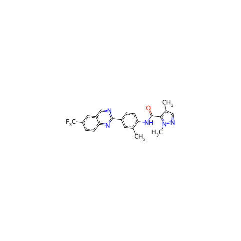 Cc1cc(-c2ncc3cc(C(F)(F)F)ccc3n2)ccc1NC(=O)c1c(C)cnn1C